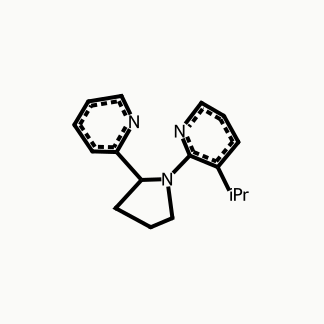 CC(C)c1cccnc1N1CCCC1c1ccccn1